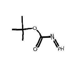 CC(C)(C)OC(=O)N=P